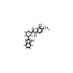 Cc1ccc(NC(=O)N2CCCC(c3nc4ccccc4[nH]3)C2)cc1Cl